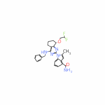 Cc1cc2c(C(N)=O)cccc2n1-c1nc(NCc2ccccc2)c2c(n1)[C@@H](OCC(F)F)CCC2